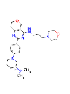 CN(C)[C@H]1CCCN(c2ccc(-c3nc4c(c(NCCCN5CCOCC5)n3)COCC4)cc2)C1